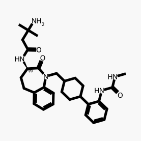 CNC(=O)Nc1ccccc1C1CCC(CN2C(=O)[C@H](NC(=O)CC(C)(C)N)CCc3ccccc32)CC1